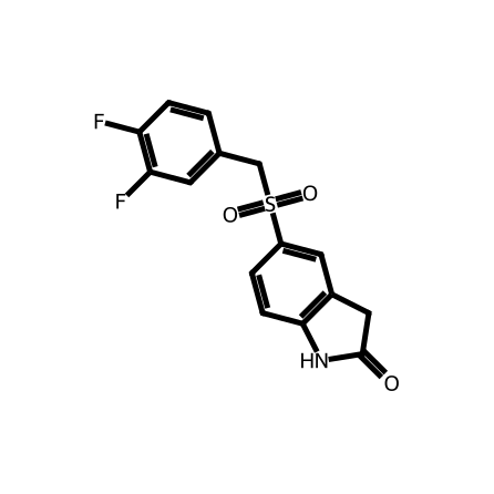 O=C1Cc2cc(S(=O)(=O)Cc3ccc(F)c(F)c3)ccc2N1